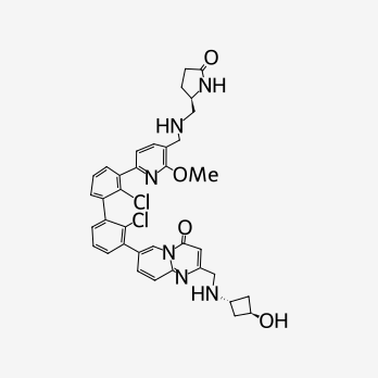 COc1nc(-c2cccc(-c3cccc(-c4ccc5nc(CN[C@H]6C[C@H](O)C6)cc(=O)n5c4)c3Cl)c2Cl)ccc1CNC[C@H]1CCC(=O)N1